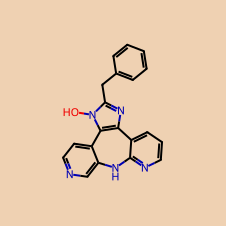 On1c(Cc2ccccc2)nc2c1-c1ccncc1Nc1ncccc1-2